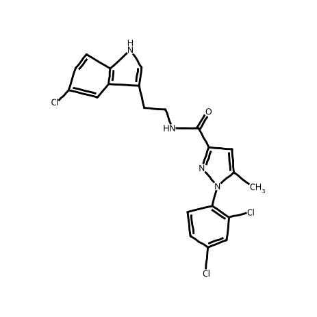 Cc1cc(C(=O)NCCc2c[nH]c3ccc(Cl)cc23)nn1-c1ccc(Cl)cc1Cl